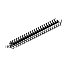 O=S(=O)(O)C(Cl)(Cl)C(Cl)(Cl)C(Cl)(Cl)C(Cl)(Cl)C(Cl)(Cl)C(Cl)(Cl)C(Cl)(Cl)C(Cl)(Cl)C(Cl)(Cl)C(Cl)(Cl)C(Cl)(Cl)C(Cl)(Cl)C(Cl)(Cl)C(Cl)(Cl)C(Cl)(Cl)C(Cl)(Cl)C(Cl)(Cl)C(Cl)(Cl)C(Cl)(Cl)C(Cl)(Cl)C(Cl)(Cl)C(Cl)(Cl)C(Cl)(Cl)Cl